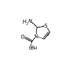 CC(C)(C)C(=O)N1C=CSC1N